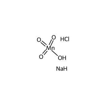 Cl.[NaH].[O]=[Mn](=[O])(=[O])[OH]